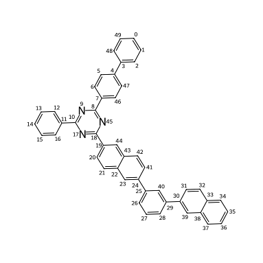 c1ccc(-c2ccc(-c3nc(-c4ccccc4)nc(-c4ccc5cc(-c6cccc(-c7ccc8ccccc8c7)c6)ccc5c4)n3)cc2)cc1